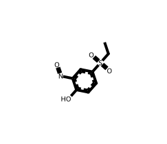 CCS(=O)(=O)c1ccc(O)c(N=O)c1